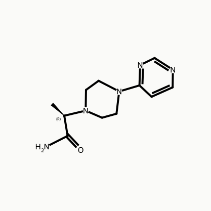 C[C@H](C(N)=O)N1CCN(c2ccncn2)CC1